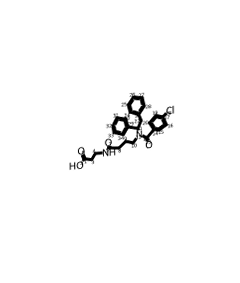 O=C(O)CCNC(=O)CCCN(C(=O)c1ccc(Cl)cc1)C(Cc1ccccc1)c1ccccc1